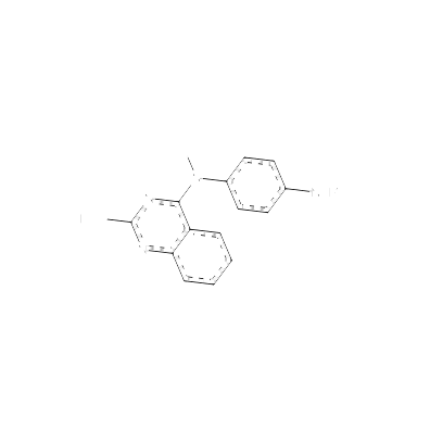 CC(=O)Nc1ccc(N(C)c2nc(C)nc3ccccc23)cc1